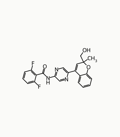 CC1(CO)C=C(c2cnc(NC(=O)c3c(F)cccc3F)cn2)c2ccccc2O1